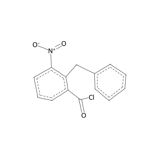 O=C(Cl)c1cccc([N+](=O)[O-])c1Cc1ccccc1